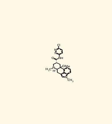 CO[C@]12C[C@@H](C(=O)Nc3ccc(Cl)nn3)CN(C)[C@@H]1Cc1cn(C)c3cccc2c13